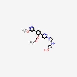 COCOc1cc(-c2cnnc(OC)c2)ccc1-c1ccc(N2CC[C@H](NC3CC(O)C3)C2)nn1